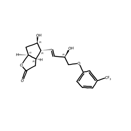 O=C1C[C@@H]2[C@@H](C=C[C@@H](O)COc3cccc(C(F)(F)F)c3)[C@H](O)C[C@@H]2O1